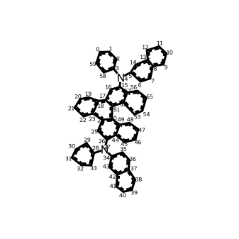 c1ccc(N(c2ccc3ccccc3c2)c2cc3c4ccccc4c4cc(N(c5ccccc5)c5ccc6ccccc6c5)c5ccccc5c4c3c3ccccc23)cc1